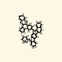 c1ccc(-c2nc3ccccc3nc2-c2ccc(-n3c4cc5c(cc4c4ccc6ccccc6c43)c3ccccc3n5-c3ccccn3)cc2)cc1